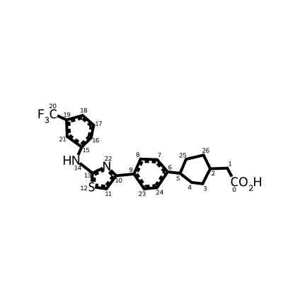 O=C(O)CC1CCC(c2ccc(-c3csc(Nc4cccc(C(F)(F)F)c4)n3)cc2)CC1